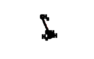 CCC=CCC=CCC=CCC=CCC=CCC=CCCC(=O)NCc1ccc(O)c(OC)c1